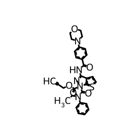 C#CCOC(=O)[N+]1(C(=O)N(CC)c2ccccc2)N=C(NC(=O)c2ccc(N3CCOCC3)cc2)c2ccsc21